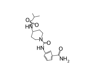 CC(C)S(=O)(=O)NC1CCN(C(=O)Nc2cccc(C(N)=O)c2)CC1